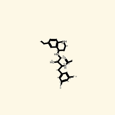 CCc1ccc2c(c1)C(NCC(O)C(Cc1cc(F)cc(F)c1)NC(C)=O)CCN2